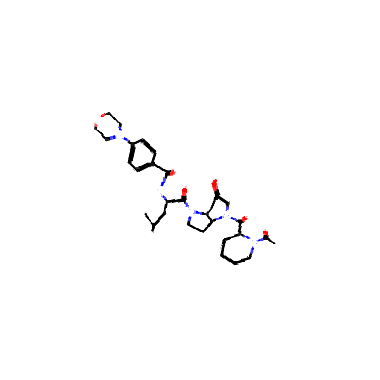 CC(=O)N1CCCCC1C(=O)N1CC(=O)C2C1CCN2C(=O)C(CC(C)C)NC(=O)c1ccc(N2CCOCC2)cc1